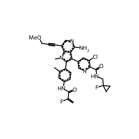 C=C(F)C(=O)Nc1ccc(-c2c(-c3cnc(C(=O)NCC4(F)CC4)c(Cl)c3)c3c(N)ncc(C#CCOC)c3n2C)c(C)c1